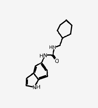 O=C(NCC1CCCCC1)Nc1ccc2[nH]ccc2c1